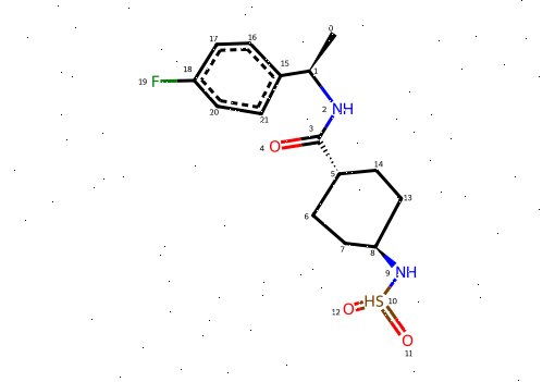 C[C@@H](NC(=O)[C@H]1CC[C@H](N[SH](=O)=O)CC1)c1ccc(F)cc1